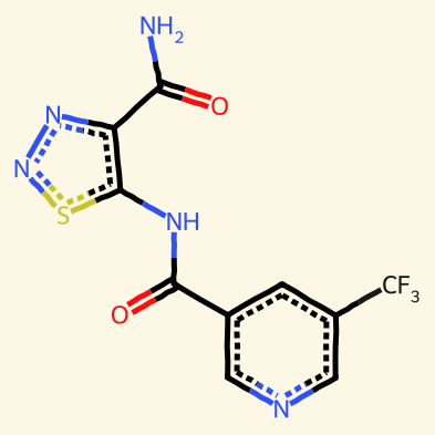 NC(=O)c1nnsc1NC(=O)c1cncc(C(F)(F)F)c1